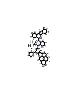 C=C/C(c1nc(-c2ccccc2)nc(-c2ccc3ccc4cccc5ccc2c3c45)n1)=c1/cccc/c1=C(/C)c1nc2c3ccccc3sc2c2ccccc12